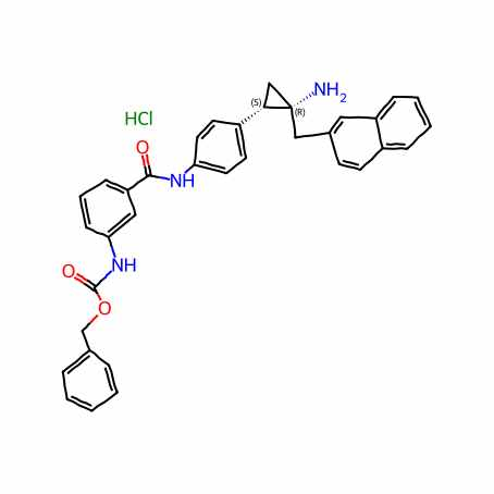 Cl.N[C@@]1(Cc2ccc3ccccc3c2)C[C@H]1c1ccc(NC(=O)c2cccc(NC(=O)OCc3ccccc3)c2)cc1